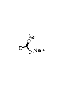 [CH2-]C(=O)[O-].[Na+].[Na+]